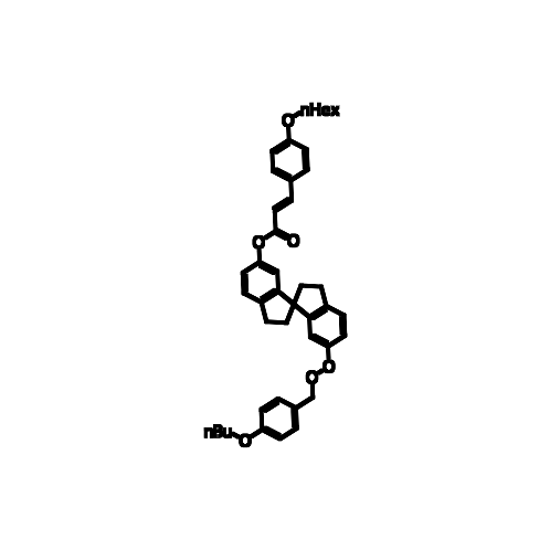 CCCCCCOc1ccc(/C=C/C(=O)Oc2ccc3c(c2)C2(CCc4ccc(OOCc5ccc(OCCCC)cc5)cc42)CC3)cc1